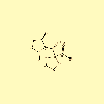 C[C@@H]1CC[C@H](C)N1C(=O)C1(C(N)=O)CCCC1